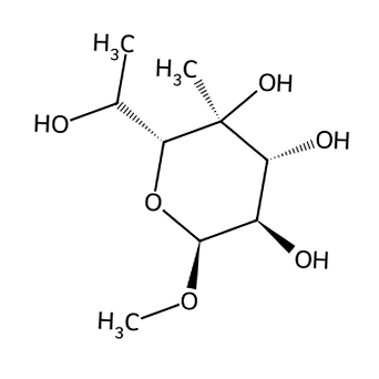 CO[C@H]1O[C@H](C(C)O)[C@@](C)(O)[C@H](O)[C@H]1O